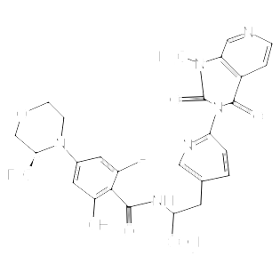 Cc1cc(N2CCOC[C@@H]2C(F)(F)F)cc(F)c1C(=O)NC(Cc1ccc(-n2c(=O)c3ccncc3n(C)c2=O)nc1)C(=O)O